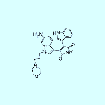 Nc1ccc2c(C3=C(c4c[nH]c5ccccc45)C(=O)NC3=O)cn(CCCN3CCOCC3)c2c1